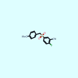 COc1ccc(CS(=O)(=O)c2ccc(F)c(C#N)c2)cc1